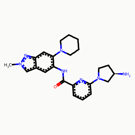 Cn1cc2cc(NC(=O)c3cccc(N4CC[C@@H](N)C4)n3)c(N3CCCCC3)cc2n1